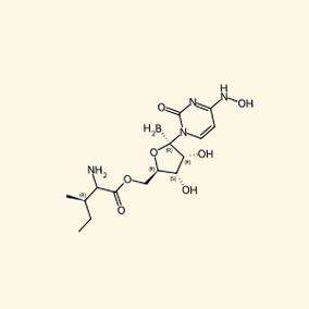 B[C@@]1(n2ccc(NO)nc2=O)O[C@H](COC(=O)C(N)[C@H](C)CC)[C@@H](O)[C@H]1O